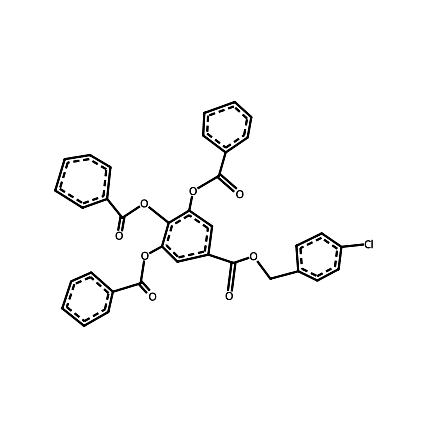 O=C(OCc1ccc(Cl)cc1)c1cc(OC(=O)c2ccccc2)c(OC(=O)c2ccccc2)c(OC(=O)c2ccccc2)c1